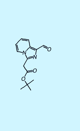 CC(C)(C)OC(=O)Cc1nc(C=O)c2ccccn12